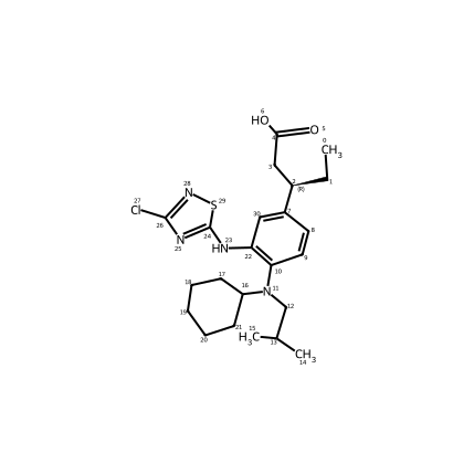 CC[C@H](CC(=O)O)c1ccc(N(CC(C)C)C2CCCCC2)c(Nc2nc(Cl)ns2)c1